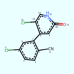 N#Cc1ccc(Cl)cc1-c1cc(=O)[nH]cc1Cl